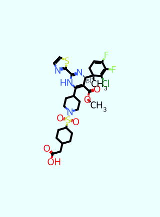 COC(=O)C1=C(C2CCN(S(=O)(=O)C3CCC(CC(=O)O)CC3)CC2)NC(c2nccs2)=N[C@@H]1[C@]1(C)CC=C(F)C(F)=C1Cl